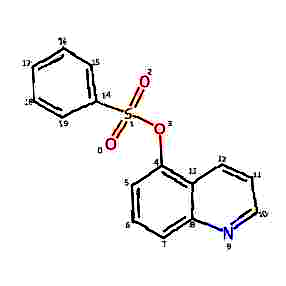 O=S(=O)(Oc1cccc2ncccc12)c1ccccc1